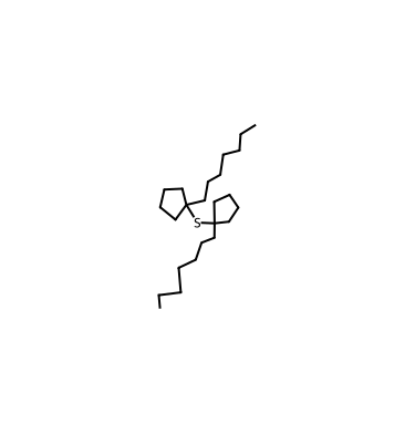 CCCCCCCC1(SC2(CCCCCCC)CCCC2)CCCC1